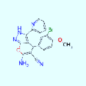 COc1ccc(C2C(C#N)=C(N)Oc3n[nH]c(-c4ccccn4)c32)cc1Br